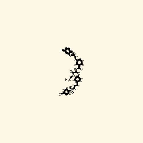 CCOC(=O)C(NC(=O)c1cccc(OCc2nc3ccc(Cl)cc3s2)c1)Oc1ccc(CCCS(=O)(=O)c2ccc(Cl)cc2)cc1